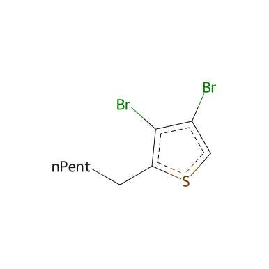 CCCCCCc1scc(Br)c1Br